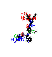 CCCCCCN(CCNC(=O)c1ccc(CNCC(CNC(=O)c2nc(Cl)c(N)nc2N)Cc2ccccc2C)cc1)CC(O)C(O)C(O)C(O)CO.Cl.Cl